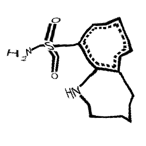 NS(=O)(=O)c1cccc2c1NCCC2